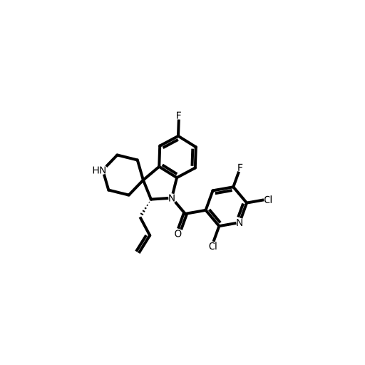 C=CC[C@H]1N(C(=O)c2cc(F)c(Cl)nc2Cl)c2ccc(F)cc2C12CCNCC2